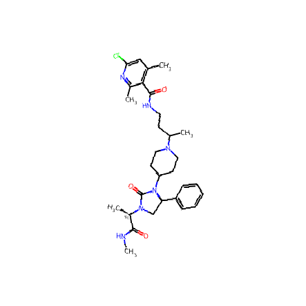 CNC(=O)[C@@H](C)N1CC(c2ccccc2)N(C2CCN(C(C)CCNC(=O)c3c(C)cc(Cl)nc3C)CC2)C1=O